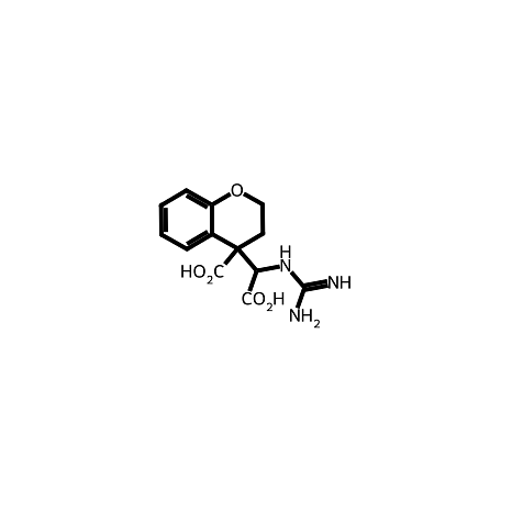 N=C(N)NC(C(=O)O)C1(C(=O)O)CCOc2ccccc21